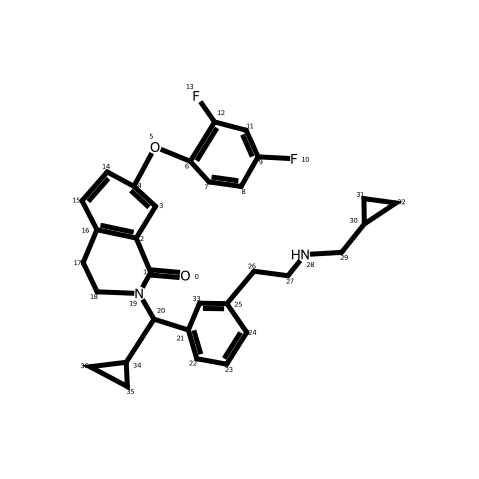 O=C1c2cc(Oc3ccc(F)cc3F)ccc2CCN1C(c1cccc(CCNCC2CC2)c1)C1CC1